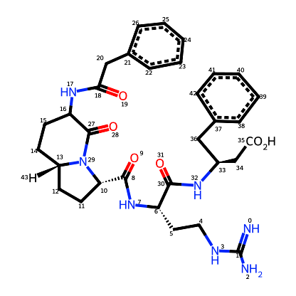 N=C(N)NCC[C@H](NC(=O)[C@@H]1CC[C@@H]2CCC(NC(=O)Cc3ccccc3)C(=O)N21)C(=O)N[C@H](CC(=O)O)Cc1ccccc1